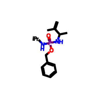 C=C(C)C(C)NP(=O)(NC(C)C)OCc1ccccc1